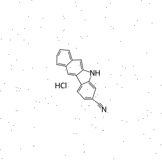 Cl.N#Cc1ccc2c(c1)[nH]c1cc3ccccc3cc12